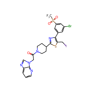 O=C(Cn1cnc2cccnc21)N1CCC(c2nc(-c3cc(Br)cc(S(=O)(=O)C(F)(F)F)c3)c(CI)s2)CC1